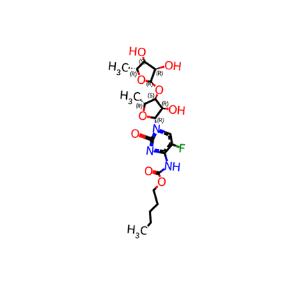 CCCCCOC(=O)Nc1nc(=O)n([C@@H]2O[C@H](C)[C@@H](O[C@H]3O[C@H](C)[C@@H](O)[C@H]3O)[C@H]2O)cc1F